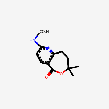 CC1(C)CCc2nc(NC(=O)O)ccc2C(=O)O1